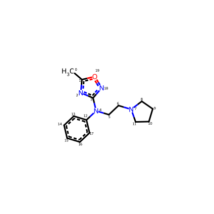 Cc1nc(N(CCN2CCCC2)c2ccccc2)no1